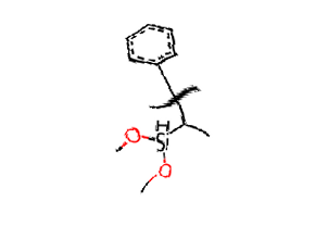 CO[SiH](OC)C(C)C(C)(C)c1ccccc1